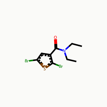 CCN(CC)C(=O)c1cc(Br)sc1Br